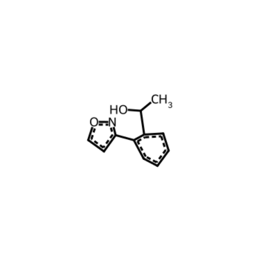 CC(O)c1ccccc1-c1ccon1